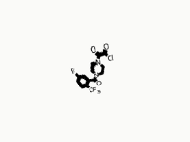 O=C(Cl)C(=O)N1CCN(C(=O)c2cc(F)ccc2C(F)(F)F)CC1